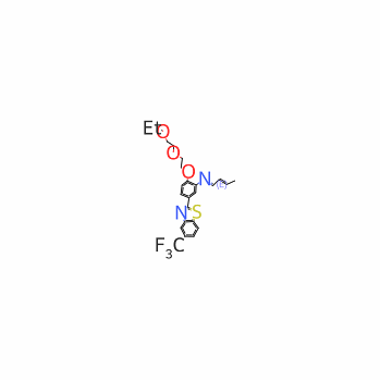 C/C=C/C=Nc1cc(-c2nc3cc(C(F)(F)F)ccc3s2)ccc1OCCOCCOCC